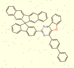 c1ccc(-c2ccc(-c3nc(-c4ccc5c(c4)C4(c6ccccc6-5)c5cc6ccccc6cc5-c5cc6ccccc6cc54)nc4c3oc3ccccc34)cc2)cc1